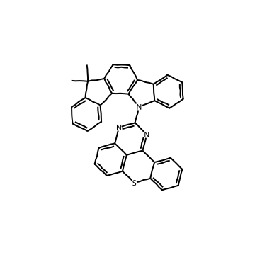 CC1(C)c2ccccc2-c2c1ccc1c3ccccc3n(-c3nc4c5c(cccc5n3)Sc3ccccc3-4)c21